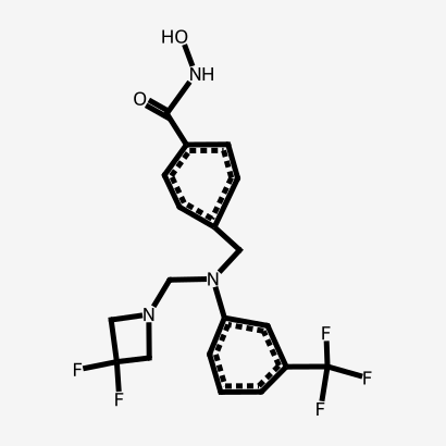 O=C(NO)c1ccc(CN(CN2CC(F)(F)C2)c2cccc(C(F)(F)F)c2)cc1